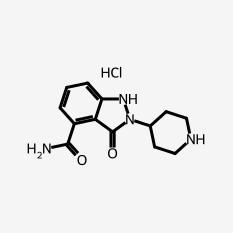 Cl.NC(=O)c1cccc2[nH]n(C3CCNCC3)c(=O)c12